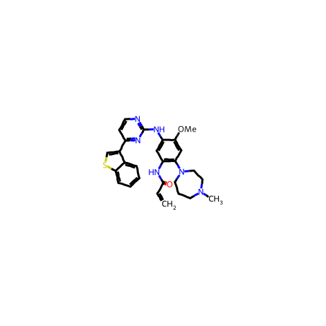 C=CC(=O)Nc1cc(Nc2nccc(-c3csc4ccccc34)n2)c(OC)cc1N1CCCN(C)CC1